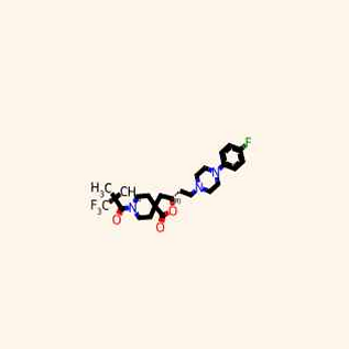 CC(C)(C(=O)N1CCC2(CC1)C[C@H](CCN1CCN(c3ccc(F)cc3)CC1)OC2=O)C(F)(F)F